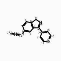 [N-]=[N+]=Nc1ccc2c(c1)C(c1ccncc1)=NC2